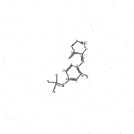 C=C1CCNC/C1=C/c1ccc(SC(C)(C)C)cc1C